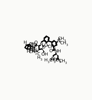 COc1c(CN2O[C@@H](CO)[C@@H]([C@H](C)O)[C@H]2C(=O)N[C@H]2C[C@H]3C[C@@H]([C@@H]2C)C3(C)C)cccc1-c1cc(C(=O)N[C@@H](CC(C)C)CN(C)C)cc(N(C)C)c1